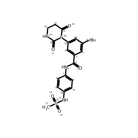 CC(C)(C)c1cc(C(=O)Nc2ccc(NS(C)(=O)=O)cc2)cc(N2C(=O)CCNC2=O)c1